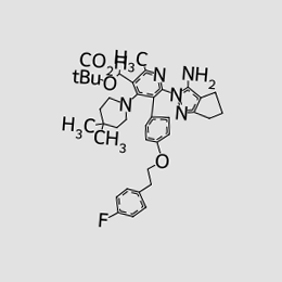 Cc1nc(-n2nc3c(c2N)CCC3)c(-c2ccc(OCCc3ccc(F)cc3)cc2)c(N2CCC(C)(C)CC2)c1C(OC(C)(C)C)C(=O)O